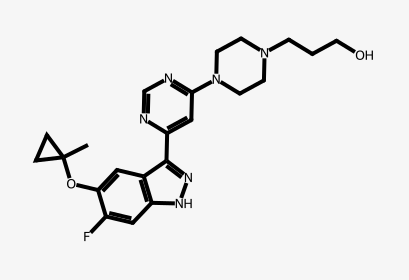 CC1(Oc2cc3c(-c4cc(N5CCN(CCCO)CC5)ncn4)n[nH]c3cc2F)CC1